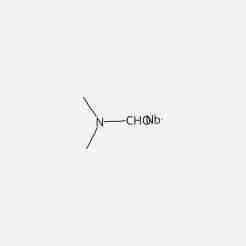 CN(C)C=O.[Nb]